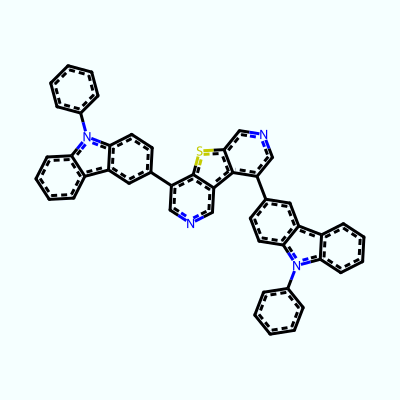 c1ccc(-n2c3ccccc3c3cc(-c4cncc5c4sc4cncc(-c6ccc7c(c6)c6ccccc6n7-c6ccccc6)c45)ccc32)cc1